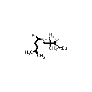 C=C(C)CCC(CC)NCC(C)(C)C(=O)OC(C)(C)C